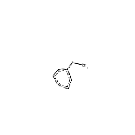 FC(F)(F)Cc1c[c]ccc1